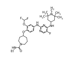 CCNC(=O)N1CCCC(Oc2ccc(Nc3ncc(F)c(NC4CC(C)(C)N(C)C(C)(C)C4)n3)cc2OC(F)F)CC1